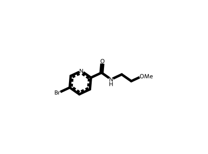 COCCNC(=O)c1ccc(Br)cn1